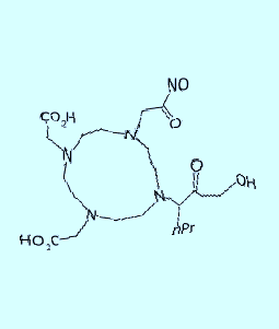 CCCC(C(=O)CO)N1CCN(CC(=O)O)CCN(CC(=O)O)CCN(CC(=O)N=O)CC1